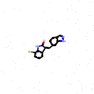 O=C1Nc2c(Br)cccc2C1=Cc1ccc2cn[nH]c2c1